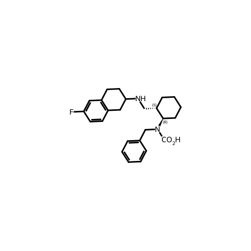 O=C(O)N(Cc1ccccc1)[C@@H]1CCCC[C@H]1CNC1CCc2cc(F)ccc2C1